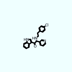 O=C(c1c[nH]c2ccccc12)[C@H](NCCc1ccc(Cl)cc1)c1cccnc1